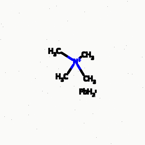 C[N+](C)(C)C.[PbH2]